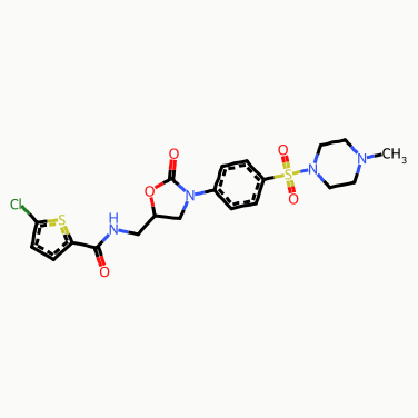 CN1CCN(S(=O)(=O)c2ccc(N3CC(CNC(=O)c4ccc(Cl)s4)OC3=O)cc2)CC1